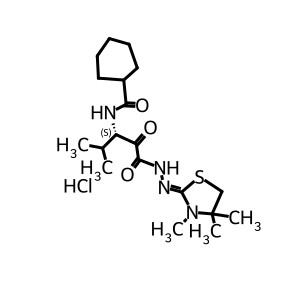 CC(C)[C@H](NC(=O)C1CCCCC1)C(=O)C(=O)NN=C1SCC(C)(C)N1C.Cl